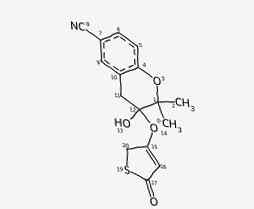 CC1(C)Oc2ccc(C#N)cc2CC1(O)OC1=CC(=O)SC1